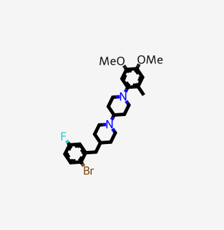 COc1cc(C)c(N2CCC(N3CCC(Cc4cc(F)ccc4Br)CC3)CC2)cc1OC